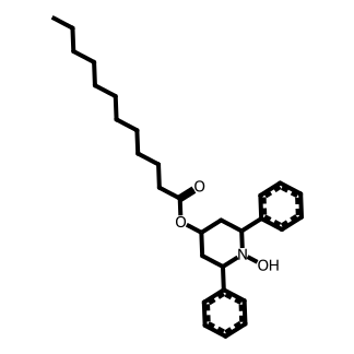 CCCCCCCCCCCC(=O)OC1CC(c2ccccc2)N(O)C(c2ccccc2)C1